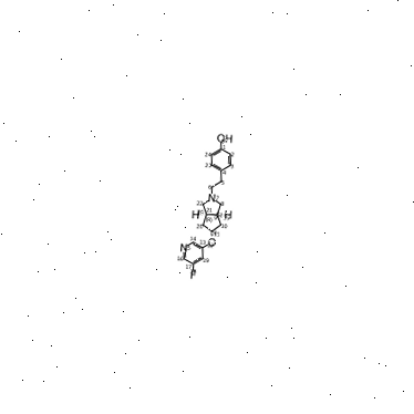 Oc1ccc(CCN2C[C@H]3C[C@H](Oc4cncc(F)c4)C[C@H]3C2)cc1